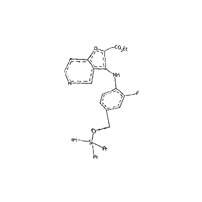 CCOC(=O)c1oc2ccncc2c1Nc1ccc(CO[Si](C(C)C)(C(C)C)C(C)C)cc1F